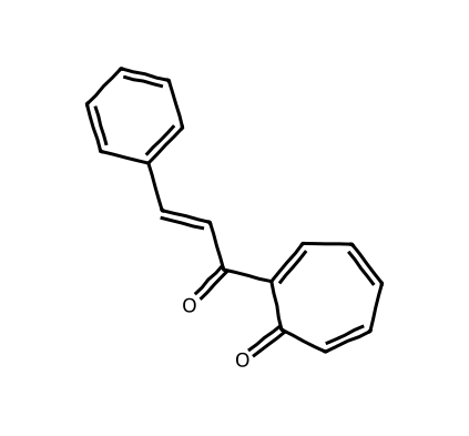 O=C(C=Cc1ccccc1)c1cccccc1=O